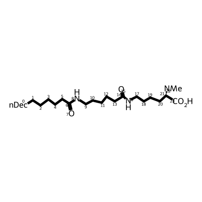 CCCCCCCCCCCCCCCC(=O)NCCCCCC(=O)NCCCC[C@H](NC)C(=O)O